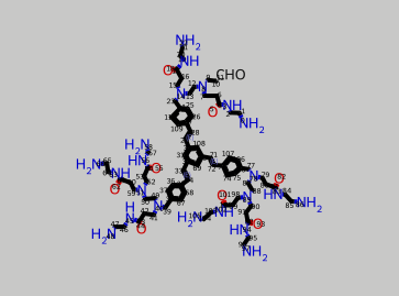 NCCNC(=O)CCN(CCC=O)CCN(CCC(=O)NCCN)Cc1ccc(/C=C/c2cc(/C=C/c3ccc(CN(CCC(=O)NCCN)CCN(CCC(=O)NCN)CCC(=O)NCCN)cc3)cc(/C=C/c3ccc(CN(CCC(=O)NCCN)CCN(CCC(=O)NCCN)CCC(=O)NCCN)cc3)c2)cc1